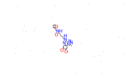 COc1cc2nc(NCCCCC(=O)NCc3ccco3)c3nnc(C)n3c2cc1OC